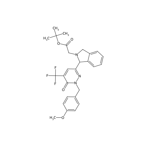 COc1ccc(Cn2nc(C3c4ccccc4CN3CC(=O)OC(C)(C)C)cc(C(F)(F)F)c2=O)cc1